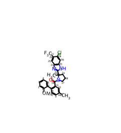 COc1ccccc1-c1ccc(C)cc1C(=O)N1CCC[C@@]1(C)c1nc2cc(C(F)(F)F)c(Cl)cc2[nH]1